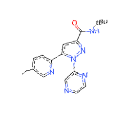 Cc1ccc(-c2cc(C(=O)NC(C)(C)C)nn2-c2cnccn2)nc1